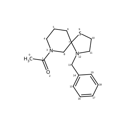 CC(=O)N1CCCC2(C1)SCCN2Cc1ccccc1